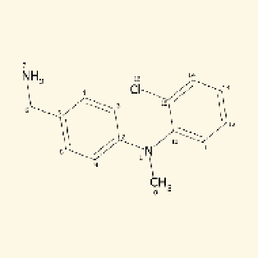 CN(c1ccc(CN)cc1)c1ccccc1Cl